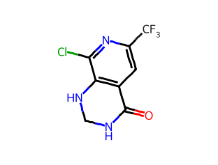 O=C1NCNc2c1cc(C(F)(F)F)nc2Cl